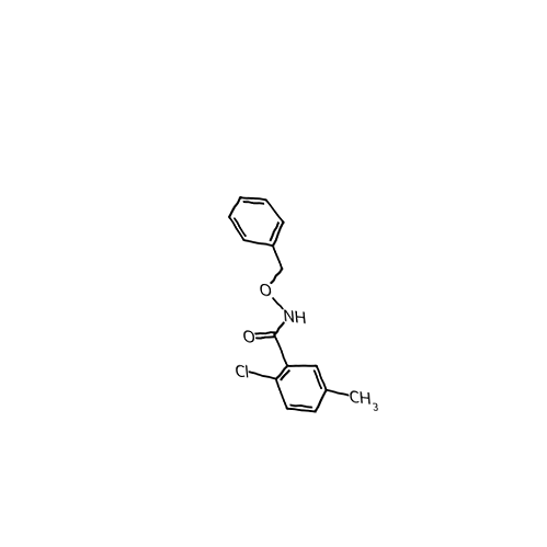 Cc1ccc(Cl)c(C(=O)NOCc2ccccc2)c1